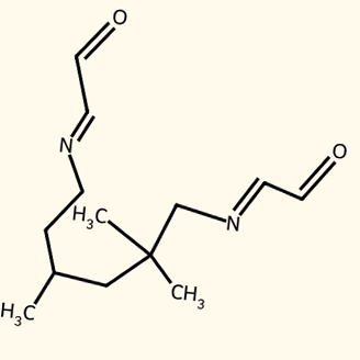 CC(CCN=CC=O)CC(C)(C)CN=CC=O